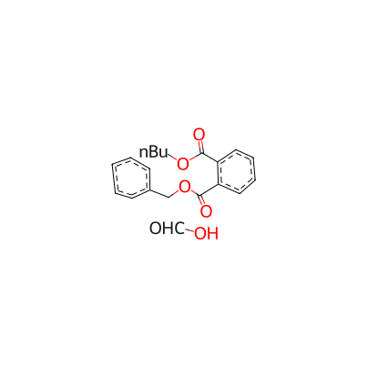 CCCCOC(=O)c1ccccc1C(=O)OCc1ccccc1.O=CO